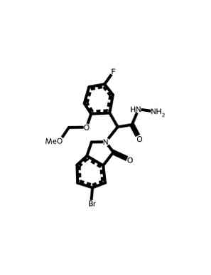 COCOc1ccc(F)cc1C(C(=O)NN)N1Cc2ccc(Br)cc2C1=O